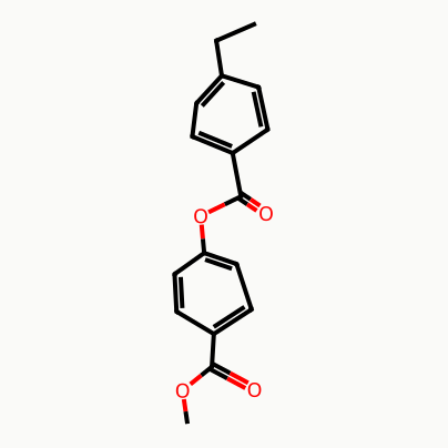 CCc1ccc(C(=O)Oc2ccc(C(=O)OC)cc2)cc1